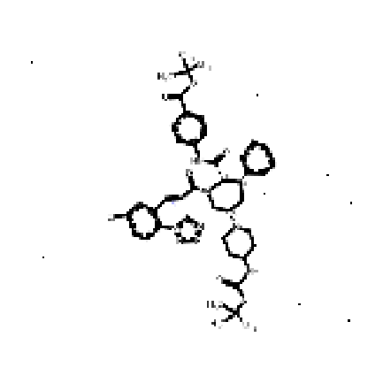 CC(C)(C)OC(=O)NC1CCN([C@H]2C[C@@H](c3ccccc3)[C@@H](C(=O)Nc3ccc(C(=O)OC(C)(C)C)cc3)N(C(=O)/C=C/c3cc(Cl)ccc3-n3cnnn3)C2)CC1